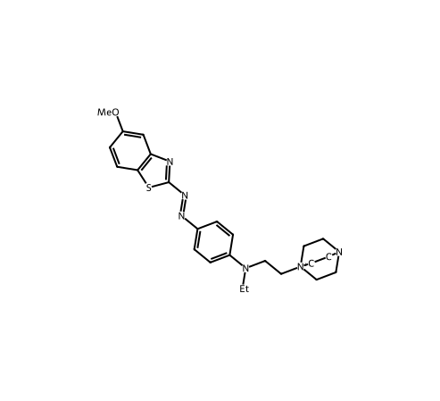 CCN(CC[N+]12CCN(CC1)CC2)c1ccc(N=Nc2nc3cc(OC)ccc3s2)cc1